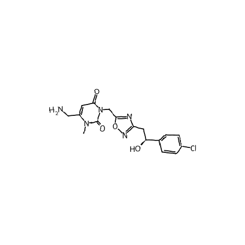 Cn1c(CN)cc(=O)n(Cc2nc(C[C@H](O)c3ccc(Cl)cc3)no2)c1=O